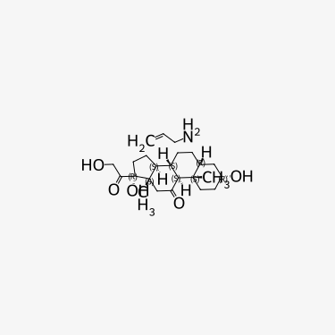 C=CCN.C[C@]12CC[C@@H](O)C[C@H]1CC[C@@H]1[C@@H]2C(=O)C[C@@]2(C)[C@H]1CC[C@]2(O)C(=O)CO